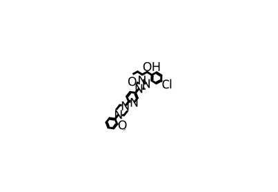 CCC(C(O)c1ccc(Cl)cc1)n1ncn(-c2ccc(N3CCN(c4ccccc4OC)CC3)nc2)c1=O